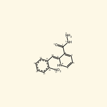 NNC(=O)C1=CC=CNC1=Cc1ccccc1[N+](=O)[O-]